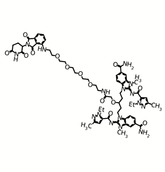 CCn1nc(C)cc1C(=O)N=c1n(C)c2cc(C(N)=O)ccc2n1CCC(CCn1c(=NC(=O)c2cc(C)nn2CC)n(C)c2cc(C(N)=O)ccc21)OCC(=O)NCCOCCOCCOCCOCCNc1cccc2c1C(=O)N(C1CCC(=O)NC1=O)C2=O